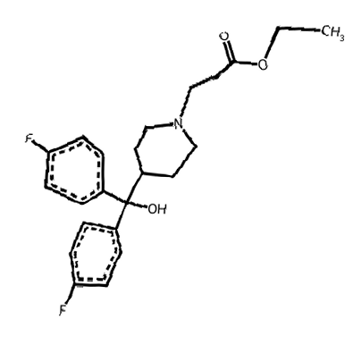 CCOC(=O)CCN1CCC(C(O)(c2ccc(F)cc2)c2ccc(F)cc2)CC1